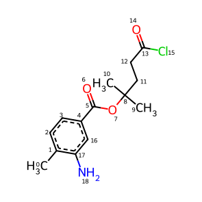 Cc1ccc(C(=O)OC(C)(C)CCC(=O)Cl)cc1N